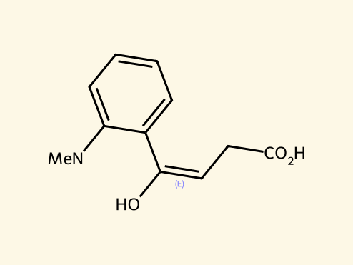 CNc1ccccc1/C(O)=C\CC(=O)O